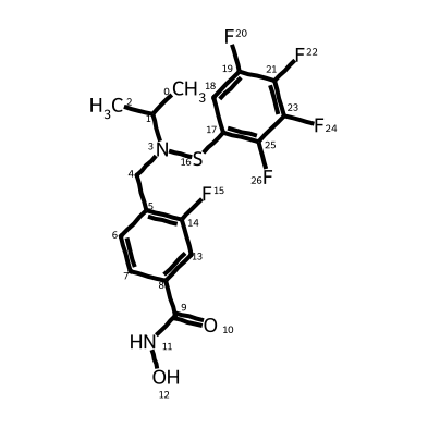 CC(C)N(Cc1ccc(C(=O)NO)cc1F)Sc1cc(F)c(F)c(F)c1F